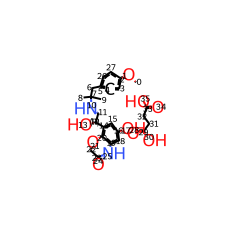 COc1ccc(CC(C)(C)NC[C@H](O)c2cc(O)cc3c2OCC(=O)N3)cc1.O=C(O)CCC(=O)O